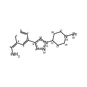 C=C/C(=C\C(C)=C/N)c1cnn(C2CCN(C(C)C)CC2)c1